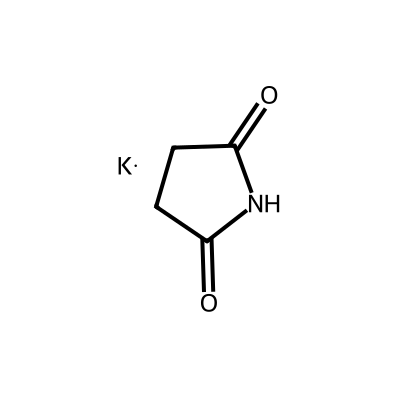 O=C1CCC(=O)N1.[K]